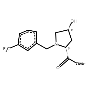 COC(=O)[C@H]1C[C@@H](O)CN1Cc1cccc(C(F)(F)F)c1